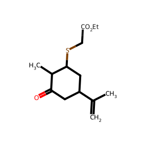 C=C(C)C1CC(=O)C(C)C(SCC(=O)OCC)C1